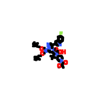 COC(C)C(=O)N1CCC(N(C(=O)O)C(c2cc(N(COCC[Si](C)(C)C)COCC[Si](C)(C)C)n3ncc(-c4cnc5ccc(F)cc5c4)c3n2)C(C)(C)C)CC1